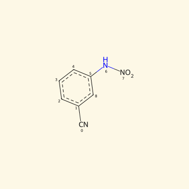 N#Cc1cccc(N[N+](=O)[O-])c1